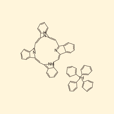 c1cc[c]([Pd]([c]2ccccc2)([c]2ccccc2)[c]2ccccc2)cc1.c1ccc2c(c1)-c1cc3[nH]c(cc4nc(cc5[nH]c(cc-2n1)c1ccccc51)-c1ccccc1-4)c1ccccc31